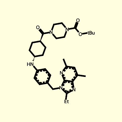 CCc1nc2c(C)cc(C)nc2n1Cc1ccc(N[C@H]2CC[C@H](C(=O)N3CCN(C(=O)OC(C)(C)C)CC3)CC2)cc1